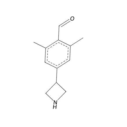 Cc1cc(C2CNC2)cc(C)c1C=O